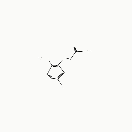 CCc1ccc(OC)c(OCC(=O)OC)c1